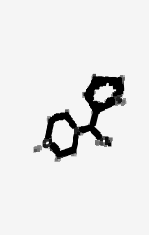 N#CC(c1cccs1)N1CCOCC1